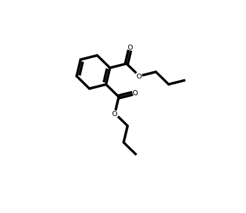 CCCOC(=O)C1=C(C(=O)OCCC)CC=CC1